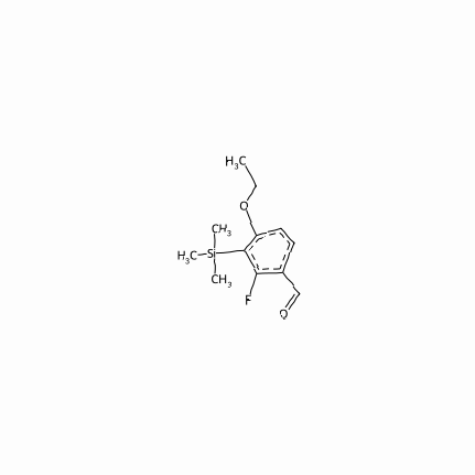 CCOc1ccc(C=O)c(F)c1[Si](C)(C)C